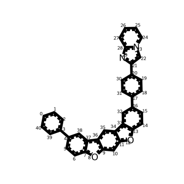 c1ccc(-c2ccc3oc4cc5oc6ccc(-c7ccc(-c8cn9ccccc9n8)cc7)cc6c5cc4c3c2)cc1